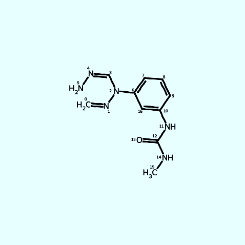 C=NN(/C=N\N)c1cccc(NC(=O)NC)c1